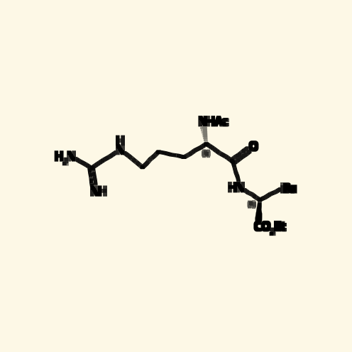 CCOC(=O)[C@@H](NC(=O)[C@H](CCCNC(=N)N)NC(C)=O)C(C)CC